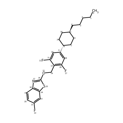 CCCCC[C@H]1CC[C@H](c2cc(F)c(COc3nc4ccc(F)cc4s3)c(F)c2)CC1